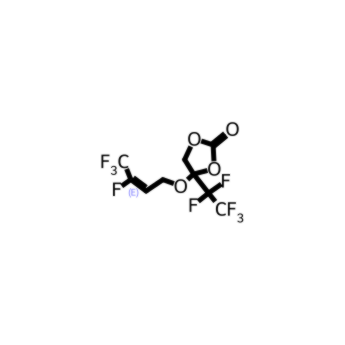 O=C1OCC(OC/C=C(/F)C(F)(F)F)(C(F)(F)C(F)(F)F)O1